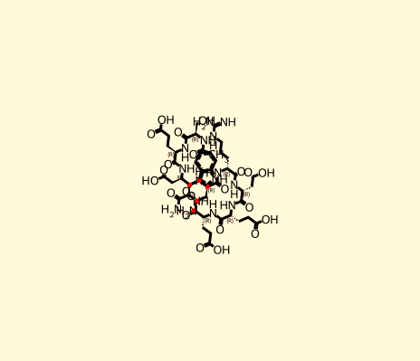 CC(=O)N[C@H](CO)C(=O)N[C@H](CCC(=O)O)C(=O)N[C@H](CC(=O)O)C(=O)N[C@H](CC(N)=O)C(=O)N[C@H](CCCNC(=N)N)C(=O)N[C@H](CC(=O)O)C(=O)N[C@H](CCC(=O)O)C(=O)N[C@H](CCC(=O)O)C(=O)N[C@H](Cc1c[nH]c2ccccc12)C(N)=O